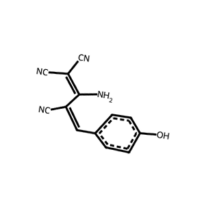 N#CC(=Cc1ccc(O)cc1)C(N)=C(C#N)C#N